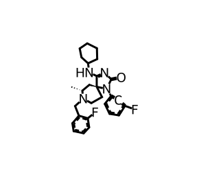 C[C@@H]1C[C@@]2(CCN1Cc1ccccc1F)C(NC1CCCCC1)=NC(=O)N2c1cccc(F)c1